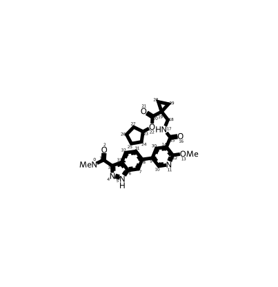 CNC(=O)c1n[nH]c2cc(-c3cnc(OC)c(C(=O)NCC4(C(=O)OC5CCCC5)CC4)c3)ccc12